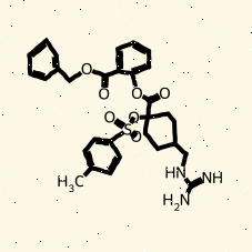 Cc1ccc(S(=O)(=O)OC2(C(=O)Oc3ccccc3C(=O)OCc3ccccc3)CCC(CNC(=N)N)CC2)cc1